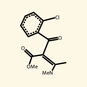 CNC(C)=C(C(=O)OC)C(=O)c1ccccc1Cl